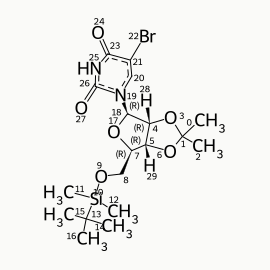 CC1(C)O[C@@H]2[C@H](O1)[C@@H](CO[Si](C)(C)C(C)(C)C)O[C@H]2n1cc(Br)c(=O)[nH]c1=O